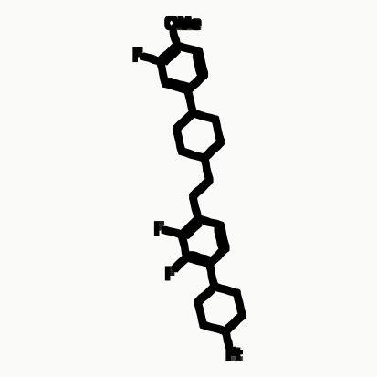 CCC1CCC(c2ccc(CCC3CCC(c4ccc(OC)c(F)c4)CC3)c(F)c2F)CC1